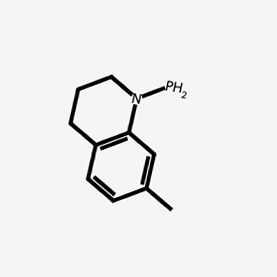 Cc1ccc2c(c1)N(P)CCC2